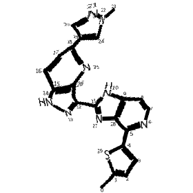 Cc1ccc(-c2nccc3[nH]c(-c4n[nH]c5ccc(-c6cnn(C)c6)nc45)nc23)s1